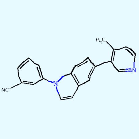 Cc1ccncc1-c1ccc2c(ccn2-c2cccc(C#N)c2)c1